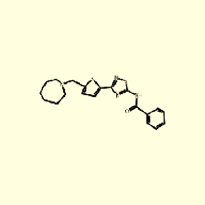 O=C(Nc1nc(-c2ccc(CN3CCCCCC3)s2)ns1)c1ccccc1